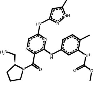 COC(=O)Nc1cc(Nc2nc(Nc3cc(C)[nH]n3)cnc2C(=O)N2CCC[C@H]2CN)ccc1C